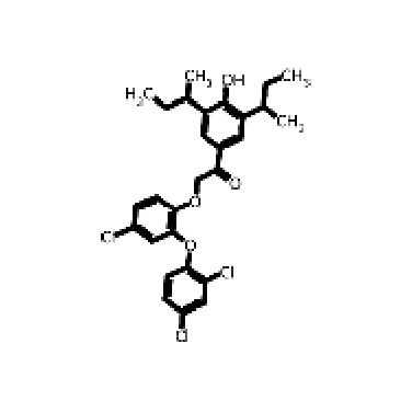 CCC(C)c1cc(C(=O)COc2ccc(Cl)cc2Oc2ccc(Cl)cc2Cl)cc(C(C)CC)c1O